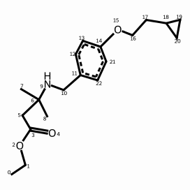 CCOC(=O)CC(C)(C)NCc1ccc(OCCC2CC2)cc1